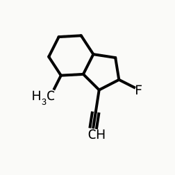 C#CC1C(F)CC2CCCC(C)C21